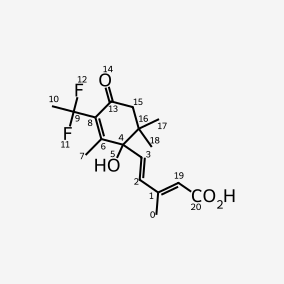 CC(C=CC1(O)C(C)=C(C(C)(F)F)C(=O)CC1(C)C)=CC(=O)O